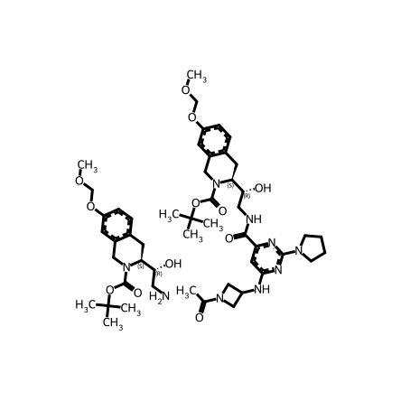 COCOc1ccc2c(c1)CN(C(=O)OC(C)(C)C)[C@H]([C@H](O)CN)C2.COCOc1ccc2c(c1)CN(C(=O)OC(C)(C)C)[C@H]([C@H](O)CNC(=O)c1cc(NC3CN(C(C)=O)C3)nc(N3CCCC3)n1)C2